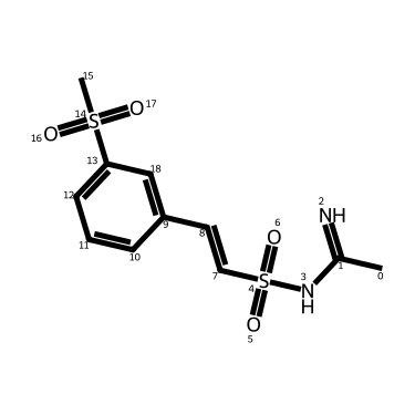 CC(=N)NS(=O)(=O)/C=C/c1cccc(S(C)(=O)=O)c1